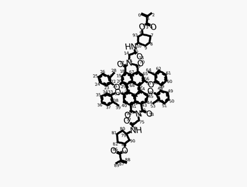 C=C(C)C(=O)OC1CCCC(NC(=O)CN2C(=O)c3cc(Oc4ccccc4C)c4c5c(Oc6ccccc6C)cc6c7c(cc(Oc8ccccc8C)c(c8c(Oc9ccccc9C)cc(c3c48)C2=O)c75)C(=O)N(CC(=O)NC2CCCC(OC(=O)C(=C)C)C2)C6=O)C1